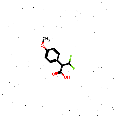 COc1ccc(C(C(=O)O)C(F)F)cc1